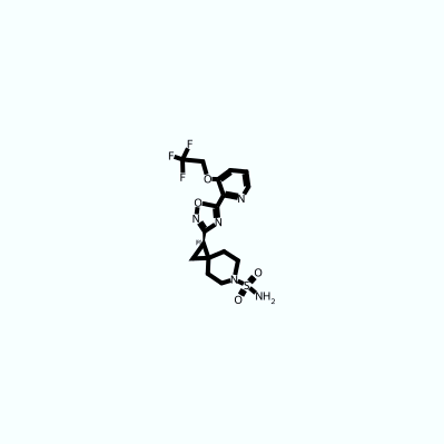 NS(=O)(=O)N1CCC2(CC1)C[C@H]2c1noc(-c2ncccc2OCC(F)(F)F)n1